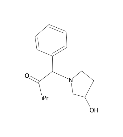 CC(C)C(=O)C(c1ccccc1)N1CCC(O)C1